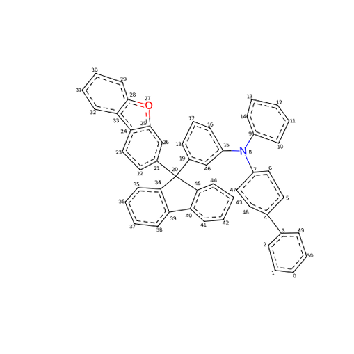 c1ccc(-c2ccc(N(c3ccccc3)c3cccc(C4(c5ccc6c(c5)oc5ccccc56)c5ccccc5-c5ccccc54)c3)cc2)cc1